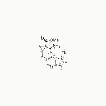 COC(=O)C1(C(N)=O)CC1Cc1ccc2[nH]cc(C#N)c2c1